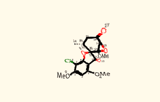 COc1cc(OC)c2c(c1Cl)O[C@@]1(C2=O)[C@H](C)CC(=O)C2OC21OC